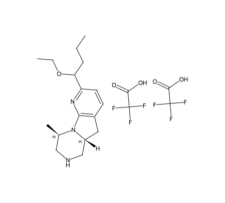 CCCC(OCC)c1ccc2c(n1)N1[C@@H](CNC[C@H]1C)C2.O=C(O)C(F)(F)F.O=C(O)C(F)(F)F